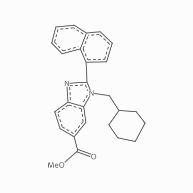 COC(=O)c1ccc2nc(-c3cccc4ccccc34)n(CC3CCCCC3)c2c1